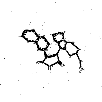 O=C1NC(=O)C(c2c3c(n4ccccc24)CCC(CO)C3)=C1c1ccc2ccccc2c1